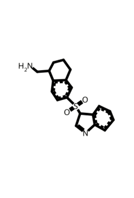 NCC1CCCc2cc(S(=O)(=O)C3C=Nc4ccccc43)ccc21